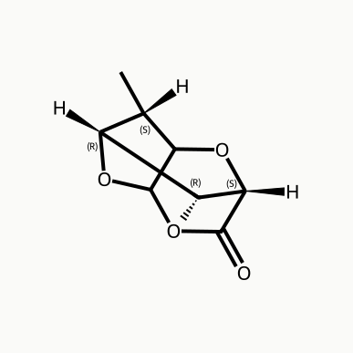 C[C@@H]1[C@@H]2OC3OC(=O)[C@H]1OC3[C@H]2C